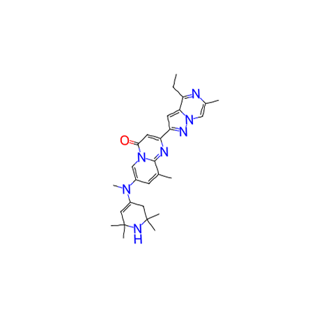 CCc1nc(C)cn2nc(-c3cc(=O)n4cc(N(C)C5=CC(C)(C)NC(C)(C)C5)cc(C)c4n3)cc12